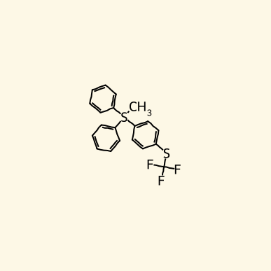 CS(c1ccccc1)(c1ccccc1)c1ccc(SC(F)(F)F)cc1